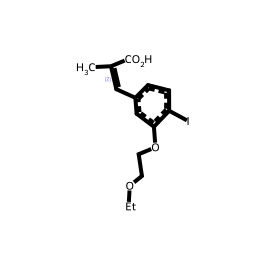 CCOCCOc1cc(/C=C(/C)C(=O)O)ccc1I